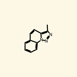 Cc1nnn2c1ccc1ccccc12